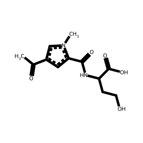 CC(=O)c1cc(C(=O)NC(CCO)C(=O)O)n(C)c1